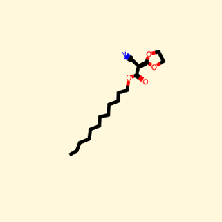 CCCCCCCCCCCCOC(=O)C(C#N)=C1OCCO1